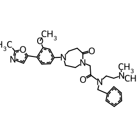 COc1cc(N2CCC(=O)N(CC(=O)N(CCN(C)C)Cc3ccccc3)CC2)ccc1-c1cnc(C)o1